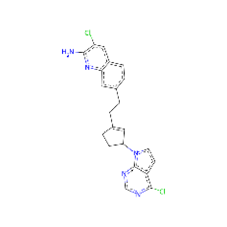 Nc1nc2cc(CCC3=CC(n4ccc5c(Cl)ncnc54)CC3)ccc2cc1Cl